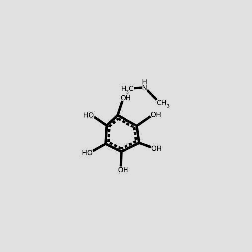 CNC.Oc1c(O)c(O)c(O)c(O)c1O